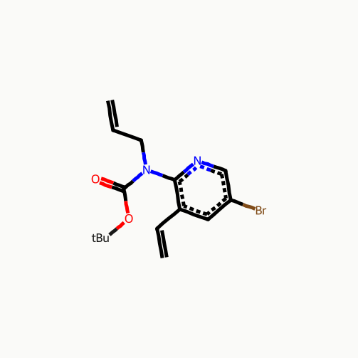 C=CCN(C(=O)OC(C)(C)C)c1ncc(Br)cc1C=C